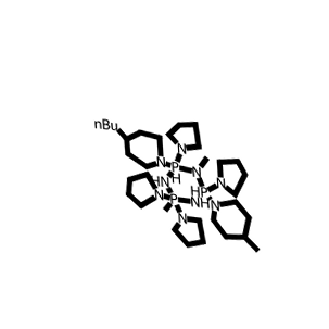 CCCCC1CCN([PH]2(N3CCCC3)NP(C)(N3CCCC3)(N3CCCC3)N[PH](N3CCCC3)(N3CCC(C)CC3)N2C)CC1